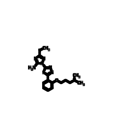 CSc1nc(N)n(-c2nnc(-c3ccccc3OCCCN(C)C)s2)n1